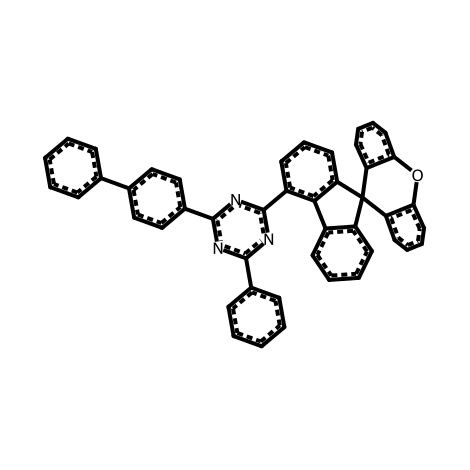 c1ccc(-c2ccc(-c3nc(-c4ccccc4)nc(-c4cccc5c4-c4ccccc4C54c5ccccc5Oc5ccccc54)n3)cc2)cc1